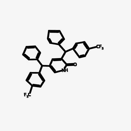 O=c1[nH]cc(C(c2ccccc2)c2ccc(C(F)(F)F)cc2)cc1C(c1ccccc1)c1ccc(C(F)(F)F)cc1